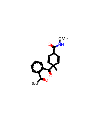 CONC(=O)C1C=CC(C)(C(=O)c2ccccc2C(=O)C(C)(C)C)C=C1